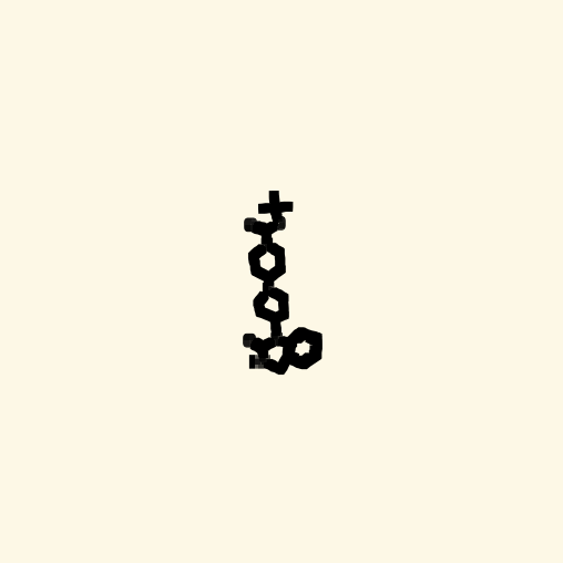 CC(C)(C)OC(=O)N1CCC(N2CCC(N3C(=O)NCc4ccccc43)CC2)CC1